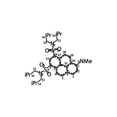 CNc1ccc2ccc3c(S(=O)(=O)N(CC(C)C)CC(C)C)cc(S(=O)(=O)N(CC(C)C)CC(C)C)c4ccc1c2c34